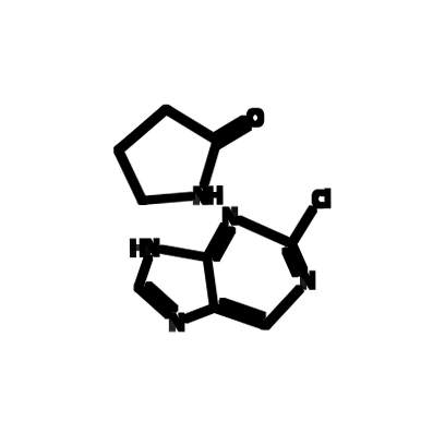 Clc1ncc2nc[nH]c2n1.O=C1CCCN1